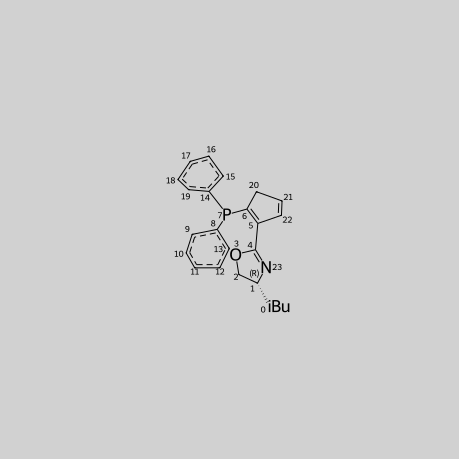 CCC(C)[C@@H]1COC(C2=C(P(c3ccccc3)c3ccccc3)CC=C2)=N1